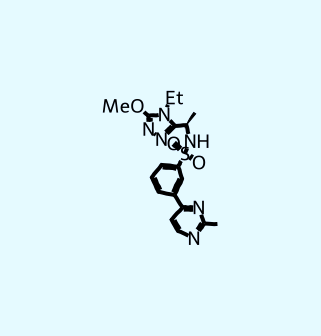 CCn1c(OC)nnc1[C@@H](C)NS(=O)(=O)c1cccc(-c2ccnc(C)n2)c1